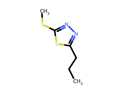 CCCc1nnc(SC)s1